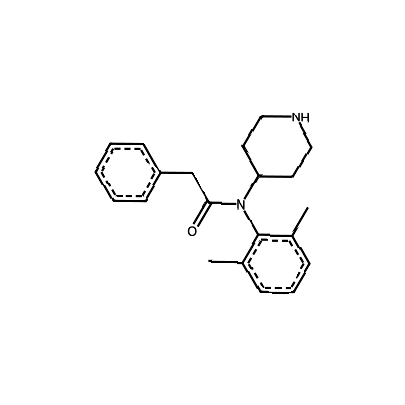 Cc1cccc(C)c1N(C(=O)Cc1ccccc1)C1CCNCC1